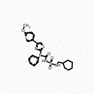 COc1ccc(-c2csc(N(C(=O)NS(=O)(=O)NCC3CCCCC3)c3ccccc3)n2)cc1